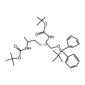 CC(CC[C@@H](CO[Si](c1ccccc1)(c1ccccc1)C(C)(C)C)NC(=O)OC(C)(C)C)NC(=O)OC(C)(C)C